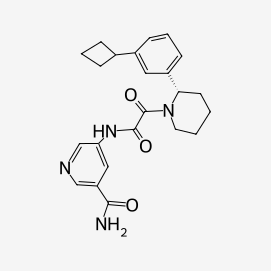 NC(=O)c1cncc(NC(=O)C(=O)N2CCCC[C@H]2c2cccc(C3CCC3)c2)c1